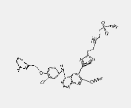 CCCS(=O)(=O)CCNCCc1nc(-c2cc3c(Nc4ccc(OCc5cccc(F)c5)c(Cl)c4)ncnc3cc2OC)cs1